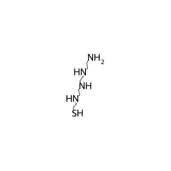 NCCNCCNCCNCCS